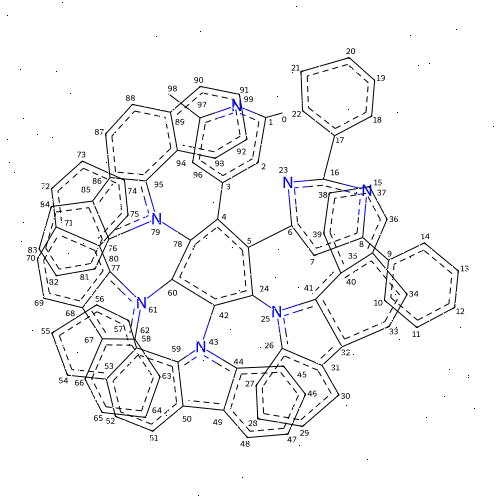 Cc1cc(-c2c(-c3cc(-c4ccccc4)nc(-c4ccccc4)n3)c(-n3c4ccccc4c4ccc5ccccc5c43)c(-n3c4ccccc4c4ccc5ccccc5c43)c(-n3c4ccccc4c4ccc5ccccc5c43)c2-n2c3ccccc3c3ccc4ccccc4c32)cc(C)n1